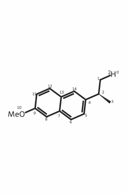 [2H]C[C@@H](C)c1ccc2cc(OC)ccc2c1